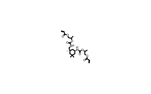 C=CC(=O)OCC(C)OC(=O)NC[C@@]1(C)C[C@@H](NC(=O)OC(C)COC(=O)C=C)CC(C)(C)C1